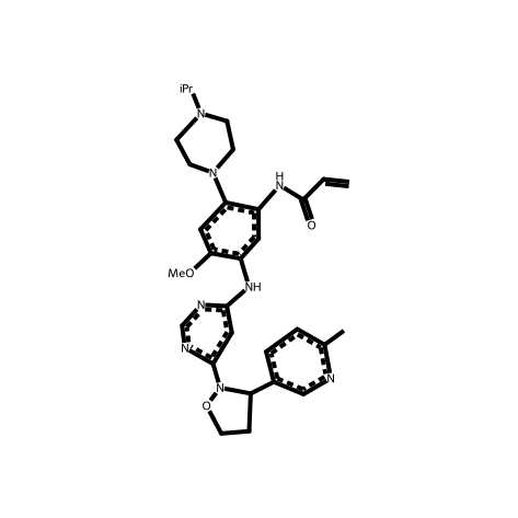 C=CC(=O)Nc1cc(Nc2cc(N3OCCC3c3ccc(C)nc3)ncn2)c(OC)cc1N1CCN(C(C)C)CC1